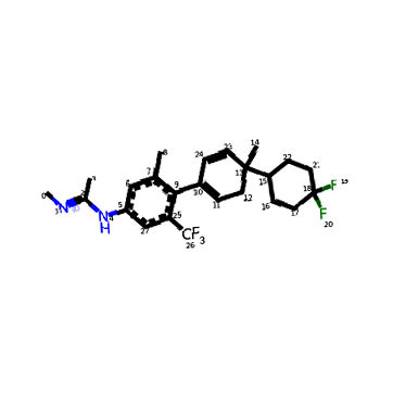 C/N=C(\C)Nc1cc(C)c(C2=CCC(C)(C3CCC(F)(F)CC3)C=C2)c(C(F)(F)F)c1